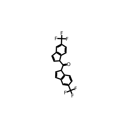 O=C(C1C=Cc2cc(C(F)(F)F)ccc21)C1C=Cc2cc(C(F)(F)F)ccc21